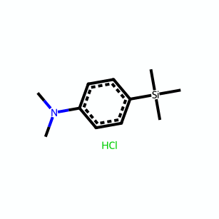 CN(C)c1ccc([Si](C)(C)C)cc1.Cl